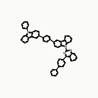 c1ccc(-c2ccc(-c3nc(-n4c5ccccc5c5cc(-c6ccc(-c7ccc8c(c7)c7ccccc7n8-c7ccccc7)cc6)ccc54)nc4ccccc34)cc2)cc1